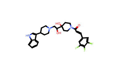 O=C(/C=C/c1cc(F)c(F)c(F)c1)N1CCC(O)(C(O)CN2CCC(c3c[nH]c4ccccc34)CC2)CC1